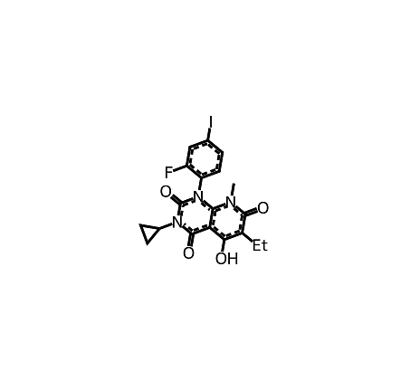 CCc1c(O)c2c(=O)n(C3CC3)c(=O)n(-c3ccc(I)cc3F)c2n(C)c1=O